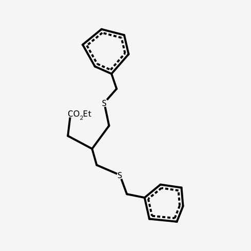 CCOC(=O)CC(CSCc1ccccc1)CSCc1ccccc1